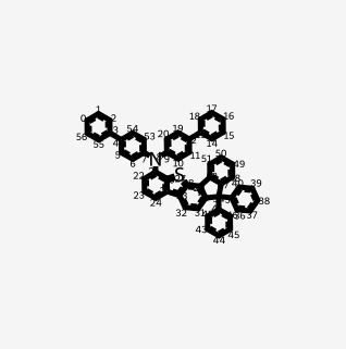 c1ccc(-c2ccc(N(c3ccc(-c4ccccc4)cc3)c3cccc4c3sc3c5c(ccc34)C(c3ccccc3)(c3ccccc3)c3ccccc3-5)cc2)cc1